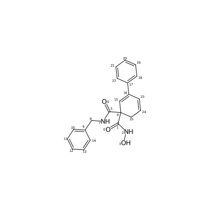 O=C(NO)C1(C(=O)NCc2ccccc2)C=C(c2ccccc2)C=CC1